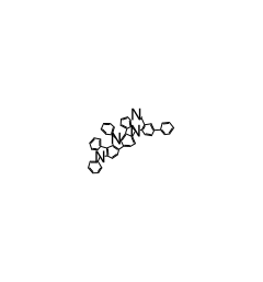 N#Cc1cc(-c2ccccc2)ccc1-n1c2ccccc2c2c1ccc1c3ccc4c(c5ccccc5n4-c4ccccc4)c3n(-c3ccccc3)c12